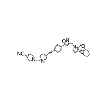 C[C@H](OC1CCCCO1)c1nccn1Cc1cc(-c2ccc(C#Cc3ccc(CN4CC5C(C#N)C5C4)nc3)cc2)on1